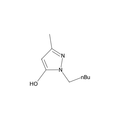 CCCCCn1nc(C)cc1O